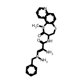 CN1C(=O)C(NC(=O)/C(N)=C/N(N)Cc2ccccc2)CSc2ccc3ncccc3c21